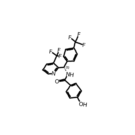 O=C(N[C@@H](c1ccc(C(F)(F)F)cc1)c1ncccc1C(F)(F)F)c1ccc(O)cc1